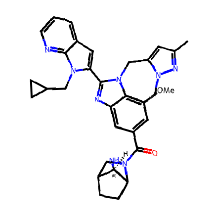 COc1cc(C(=O)N2CC3CCC2[C@@H]3N)cc2nc(-c3cc4cccnc4n3CC3CC3)n(Cc3cc(C)nn3C)c12